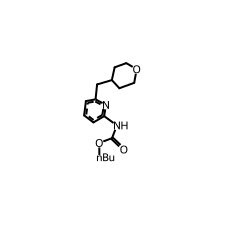 CCCCOC(=O)Nc1cccc(CC2CCOCC2)n1